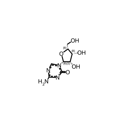 Nc1ncn([C@@H]2O[C@H](CO)[C@H](O)[C@@H]2O)c(=O)n1